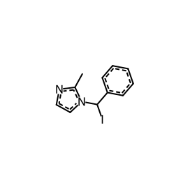 Cc1nccn1C(I)c1ccccc1